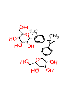 Cc1cc(C2(C)CC2c2ccc([C@H]3O[C@H](CO)[C@@H](O)[C@H](O)[C@@H]3O)cc2)ccc1[C@H]1O[C@H](CO)[C@@H](O)[C@H](O)[C@@H]1O